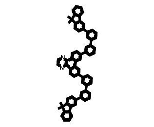 CC1(C)c2ccccc2-c2cc(-c3cccc(-c4cccc(-c5ccc6c(c5)c5cc(-c7cccc(-c8cccc(-c9ccc%10c(c9)-c9ccccc9C%10(C)C)c8)c7)ccc5c5nccnc65)c4)c3)ccc21